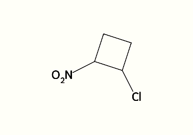 O=[N+]([O-])C1CCC1Cl